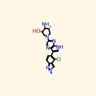 Cn1cc2c(Cl)c(-c3c[nH]c4nc(N5CC[C@H](N)[C@@H](O)C5)cnc34)ccc2n1